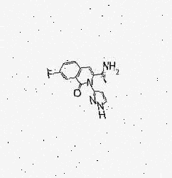 C[C@H](N)c1cc2ccc(F)cc2c(=O)n1-c1cc[nH]n1